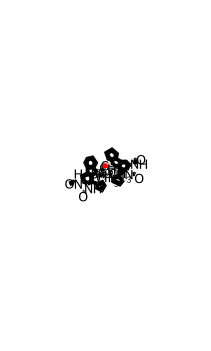 [CH3][Sn]([CH3])([Hf][Sn]([CH3])([CH3])[CH]1c2ccccc2-c2cc(NC=O)c(NC=O)c(C3=CC=CC3)c21)[CH]1c2ccccc2-c2cc(NC=O)c(NC=O)c(C3=CC=CC3)c21